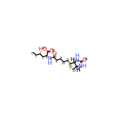 CCCCC(NC(=O)CCCC[C@@H]1SC[C@@H]2NC(=O)N[C@@H]21)C(=O)O